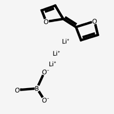 C1=CC(=C2C=CO2)O1.[Li+].[Li+].[Li+].[O-]B([O-])[O-]